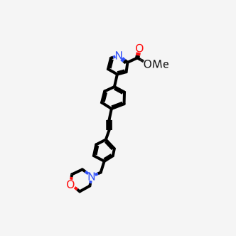 COC(=O)c1cc(-c2ccc(C#Cc3ccc(CN4CCOCC4)cc3)cc2)ccn1